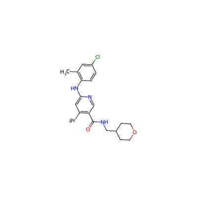 Cc1cc(Cl)ccc1Nc1cc(C(C)C)c(C(=O)NCC2CCOCC2)cn1